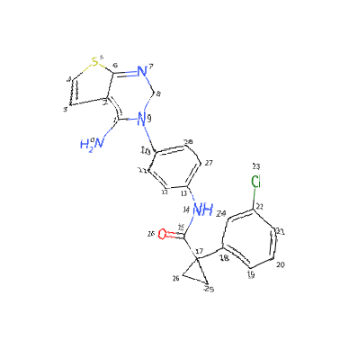 NC1=c2ccsc2=NCN1c1ccc(NC(=O)C2(c3cccc(Cl)c3)CC2)cc1